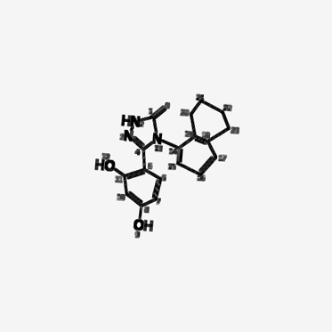 C=C1NN=C(c2ccc(O)cc2O)N1c1cccc2c1CCCC2